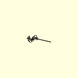 CCCCCCCCCCCCCCC[CH2][Co](=[O])[c]1cc[c]([Co](=[O])[c]2cc(C)cc(C)c2)cc1